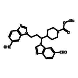 CC(C)(C)OC(=O)N1CCC(C(CCn2cnc3ccc(C=O)cc32)n2cnc3ccc(C=O)cc32)CC1